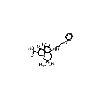 CC1(C)CCc2c(NCCCOc3ccccc3)c(F)c(N)c3c(=O)c(C(=O)O)cn(c23)C1